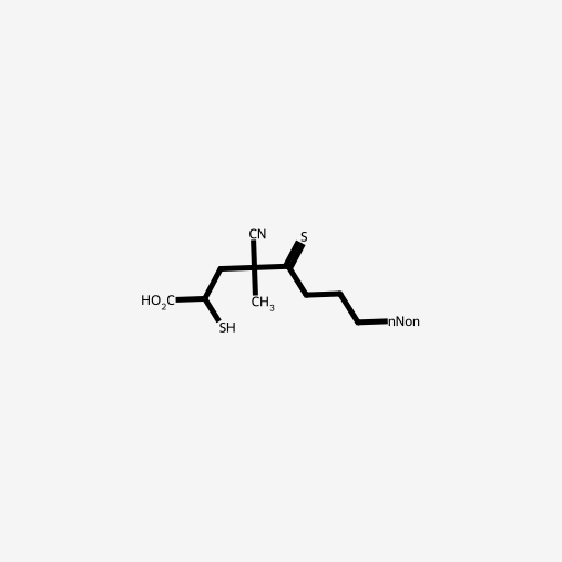 CCCCCCCCCCCCC(=S)C(C)(C#N)CC(S)C(=O)O